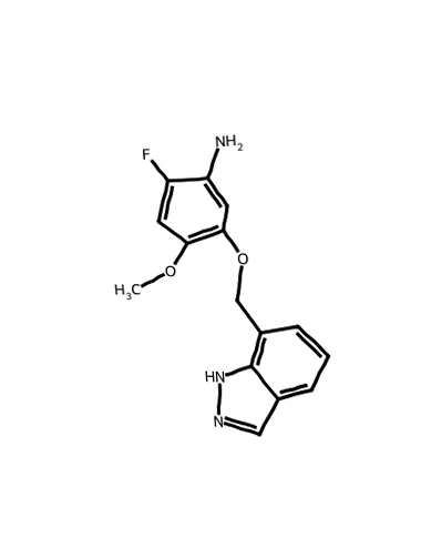 COc1cc(F)c(N)cc1OCc1cccc2cn[nH]c12